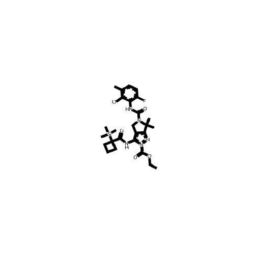 CCOC(=O)n1nc2c(c1NC(=O)C1([Si](C)(C)C)CCC1)CN(C(=O)Nc1c(F)ccc(C)c1Cl)C2(C)C